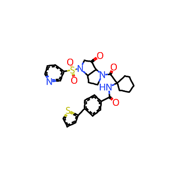 O=C(NC1(C(=O)N2CCC3C2C(=O)CN3S(=O)(=O)c2cccnc2)CCCCC1)c1ccc(-c2cccs2)cc1